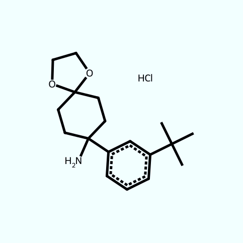 CC(C)(C)c1cccc(C2(N)CCC3(CC2)OCCO3)c1.Cl